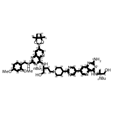 CCCC[C@](C)(CO)Nc1nc(N)nc2cc(-c3cnc(C4CCN(CC[C@](CO)(CCCC)Nc5nc(NCc6ccc(OC)cc6OC)nc6cc(B7OC(C)(C)C(C)(C)O7)cnc56)CC4)nc3)cnc12